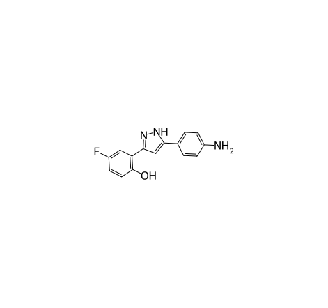 Nc1ccc(-c2cc(-c3cc(F)ccc3O)n[nH]2)cc1